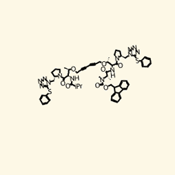 CC(C)C(=O)N[C@H](C(=O)N1CCC[C@H]1Cn1nnnc1Sc1ccccc1)[C@@H](C)OCC#CC#CCO[C@H](C)[C@H](NC(=O)[C@H](C)N(C)C(=O)OCC1c2ccccc2-c2ccccc21)C(=O)N1CCC[C@H]1Cn1nnnc1Sc1ccccc1